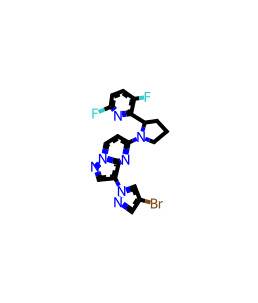 Fc1ccc(F)c(C2CCCN2c2ccn3ncc(-n4cc(Br)cn4)c3n2)n1